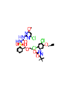 C#CCOc1cc(-n2nc(C(C)(C)C)oc2=O)c(Cl)cc1Cl.CCOC(=O)c1ccccc1S(=O)(=O)NC(=O)Nc1nc(Cl)cc(OC)n1